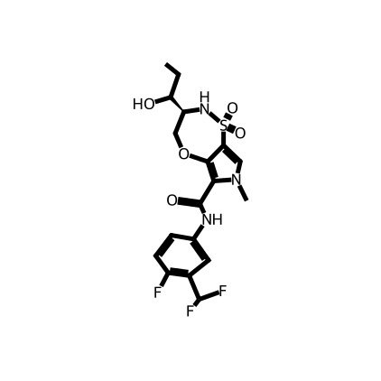 CCC(O)[C@@H]1COc2c(cn(C)c2C(=O)Nc2ccc(F)c(C(F)F)c2)S(=O)(=O)N1